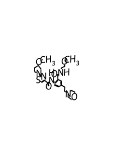 COCCNC(=O)c1cc(CCN2CCOCC2)ccc1NC(=O)c1csc(N2CC[C@H](OC)C2)n1